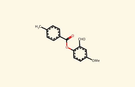 COc1ccc(OC(=O)c2ccc(C)cc2)c(C=O)c1